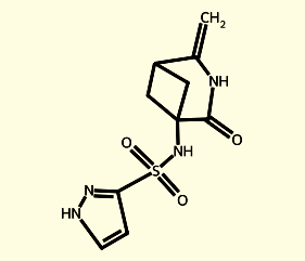 C=C1NC(=O)C2(NS(=O)(=O)c3cc[nH]n3)CC1C2